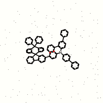 c1ccc(-c2ccc(N(c3ccc(-c4ccc5c(c4)C4(c6ccccc6-5)c5ccccc5C(c5ccccc5)(c5ccccc5)c5ccccc54)cc3)c3ccc(-c4ccccc4)cc3-c3ccccc3)cc2)cc1